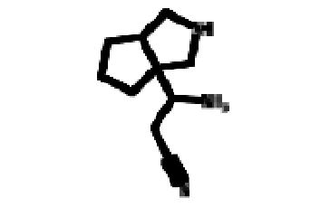 N#CCC(N)C12CCCC1CNC2